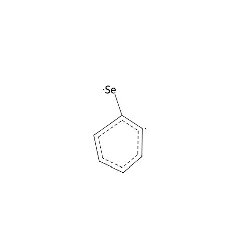 [Se]c1[c]cccc1